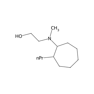 CCCC1CCCCCC1N(C)CCO